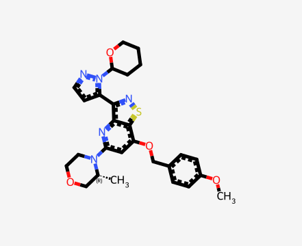 COc1ccc(COc2cc(N3CCOC[C@H]3C)nc3c(-c4ccnn4C4CCCCO4)nsc23)cc1